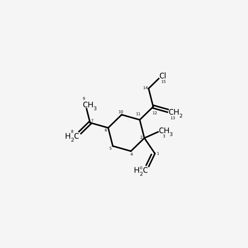 C=CC1(C)CCC(C(=C)C)CC1C(=C)CCl